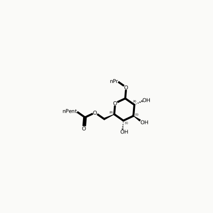 CCCCCC(=O)OC[C@H]1OC(OCCC)[C@H](O)[C@@H](O)[C@@H]1O